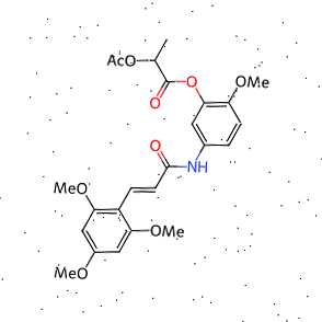 COc1cc(OC)c(C=CC(=O)Nc2ccc(OC)c(OC(=O)C(C)OC(C)=O)c2)c(OC)c1